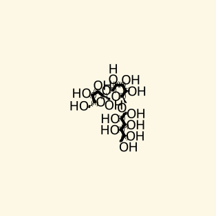 OC[C@@H](O)[C@@H](O)[C@H](O)[C@H](O)C(O)OC[C@H]1O[C@H](O[C@]2(CO)O[C@H](CO)[C@@H](O)[C@@H]2O)[C@H](O)[C@@H](O)[C@@H]1O